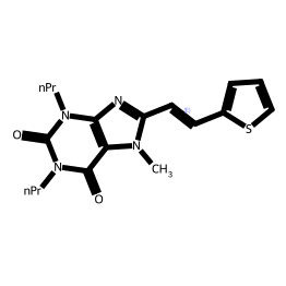 CCCn1c(=O)c2c(nc(/C=C/c3cccs3)n2C)n(CCC)c1=O